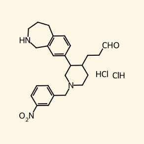 Cl.Cl.O=CCCC1CCN(Cc2cccc([N+](=O)[O-])c2)CC1c1ccc2c(c1)CNCCC2